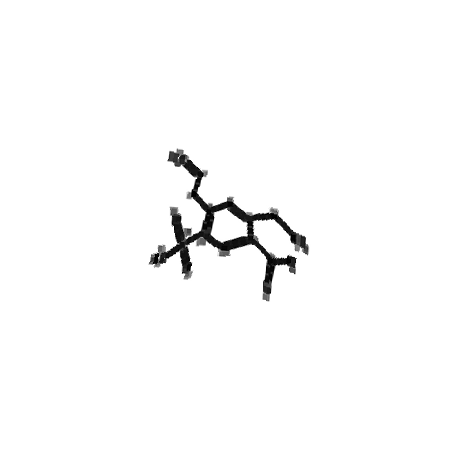 C=CCc1cc(CC)c(C(=O)Cl)cc1S(C)(=O)=O